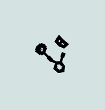 C#Cc1ccccc1C#C[C]12[CH]3[CH]4[CH]5[CH]1[Fe]45321678[CH]2[CH]1[CH]6[CH]7[CH]28.c1cc2ccc1-2